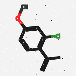 C=C(C)c1ccc(OC#N)cc1Cl